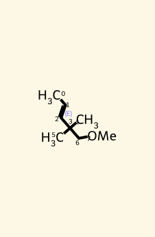 C/C=C/C(C)(C)COC